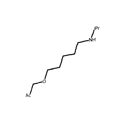 CC(=O)COCCCCCNC(C)C